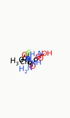 CC1(C)CC(=O)c2c(C(F)(F)F)nn(-c3ccc(C(N)=O)c(NC4CCC(OC(=O)C(N)CO)CC4)c3)c2C1